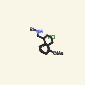 CCNCC1CCCc2c(OC)cccc21.Cl